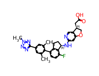 Cc1cc(-c2nnn(C)n2)cc(C)c1-c1ccc(F)c2c1CC[C@H]2Nc1cc2c(cn1)[C@@H](CC(=O)O)CO2